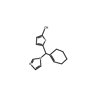 N#Cc1ccc(C(C2=CCCCC2)n2ccnc2)s1